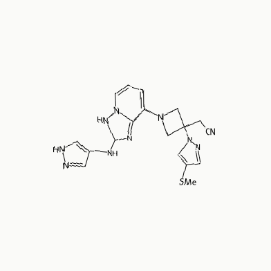 CSc1cnn(C2(CC#N)CN(C3=CC=CN4NC(Nc5cn[nH]c5)N=C34)C2)c1